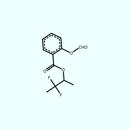 CC(OC(=O)c1ccccc1OC=O)C(C)(F)F